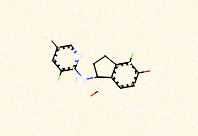 OC[C@]1(Nc2ncc(C(F)(F)F)cc2F)CCc2c1ccc(Br)c2F